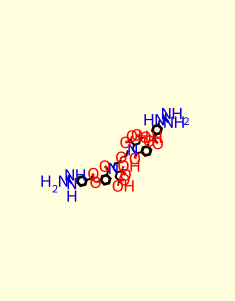 N=C(N)Nc1ccc(C(=O)Oc2cccc(C(=O)N(CCOCCN(C(=O)c3cccc(OC(=O)c4ccc(NC(=N)N)cc4)c3)C(CC(=O)O)C(=O)O)C(CC(=O)O)C(=O)O)c2)cc1